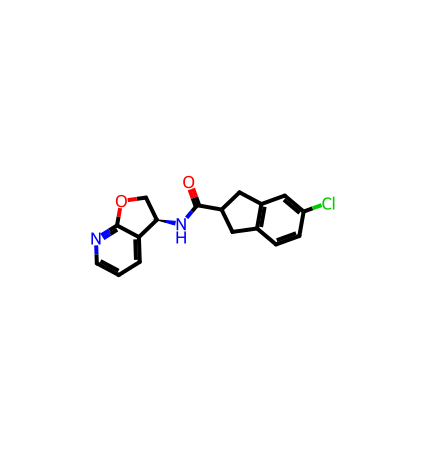 O=C(N[C@@H]1COc2ncccc21)C1Cc2ccc(Cl)cc2C1